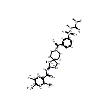 CN(C)C(=O)N(C)S(=O)(=O)c1cccc(C(=O)N2CCC3(CC2)CN/C(=N\C(=O)c2nc(Cl)c(N)nc2N)N3)c1